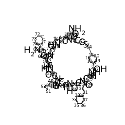 CC(C)C[C@H]1CN(CC(N)=O)C(=O)CCSCc2ccc(cc2)C(O)N[C@@H](C)CN(C(=O)CCc2ccccc2)CC(=O)N[C@@H](CC(C)C)CN(C(=O)CC2CC2)CC(=O)N[C@@H](CCCCN)CN(C(=O)CCC2CCCCC2)CC(=O)N1